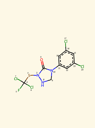 O=C1N(SC(F)(Cl)Cl)NCN1c1cc(Cl)cc(Cl)c1